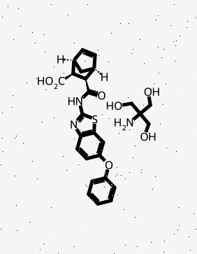 NC(CO)(CO)CO.O=C(O)[C@@H]1[C@H](C(=O)Nc2nc3ccc(Oc4ccccc4)cc3s2)[C@@H]2C=C[C@H]1C2